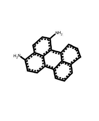 Nc1ccc2c3cccc4cccc(c5c(N)ccc1c25)c43